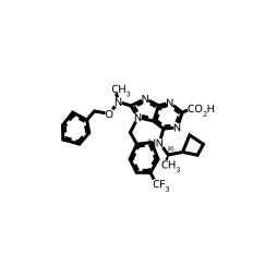 C[C@@H](Nc1nc(C(=O)O)nc2nc(N(C)OCc3ccccc3)n(Cc3ccc(C(F)(F)F)cc3)c12)C1CCC1